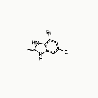 C=C1Nc2cc(Cl)cc(CC)c2N1